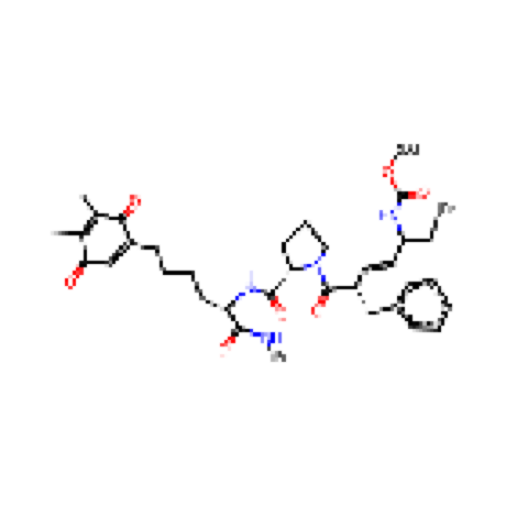 CC1=C(C)C(=O)C(CCCC[C@H](NC(=O)[C@@H]2CCCN2C(=O)[C@H](/C=C/[C@H](CC(C)C)NC(=O)OC(C)(C)C)Cc2ccccc2)C(=O)NC(C)C)=CC1=O